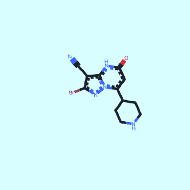 N#Cc1c(Br)nn2c(C3CCNCC3)cc(=O)[nH]c12